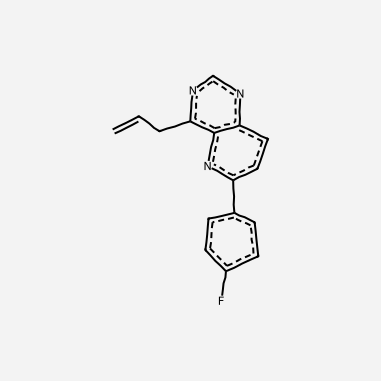 C=CCc1ncnc2ccc(-c3ccc(F)cc3)nc12